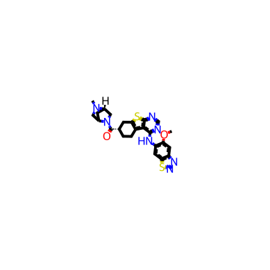 COc1cc2nnsc2cc1Nc1ncnc2sc3c(c12)CC[C@H](C(=O)N1C[C@@H]2CC1CN2C)C3